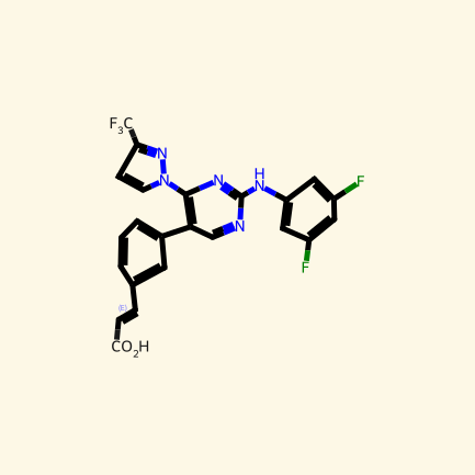 O=C(O)/C=C/c1cccc(-c2cnc(Nc3cc(F)cc(F)c3)nc2-n2ccc(C(F)(F)F)n2)c1